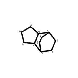 C1CC2C3CCC(CC3)C2C1